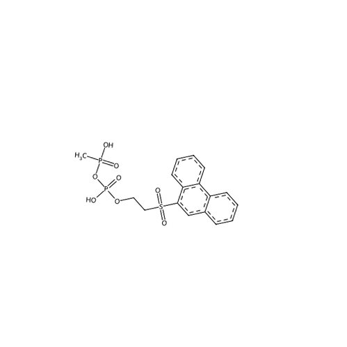 CP(=O)(O)OP(=O)(O)OCCS(=O)(=O)c1cc2ccccc2c2ccccc12